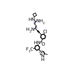 CC1=CN(c2cc(NC(=O)c3ccc(Cl)c(C#C/C(N)=C/C=C(\N)NC4CCC4)c3)cc(C(F)(F)F)c2)CN1